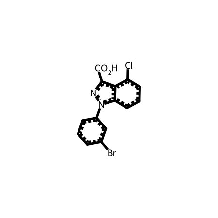 O=C(O)c1nn(-c2cccc(Br)c2)c2cccc(Cl)c12